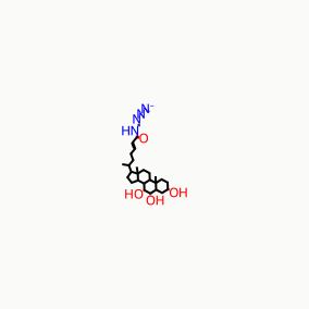 CC(CC/C=C/C(=O)NCN=[N+]=[N-])C1CCC2C3C(O)C(O)C4CC(O)CCC4(C)C3CCC12C